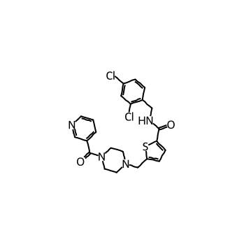 O=C(NCc1ccc(Cl)cc1Cl)c1ccc(CN2CCN(C(=O)c3cccnc3)CC2)s1